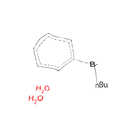 CCCC[B]c1ccccc1.O.O